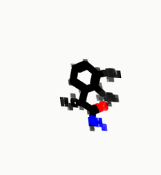 CC(C(N)=O)c1cccc(C(C)(C)C)c1C(C)(C)C